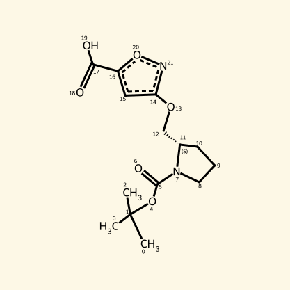 CC(C)(C)OC(=O)N1CCC[C@H]1COc1cc(C(=O)O)on1